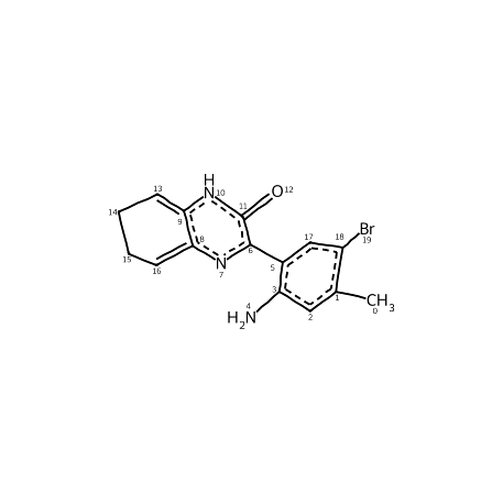 Cc1cc(N)c(-c2nc3c([nH]c2=O)=CCCC=3)cc1Br